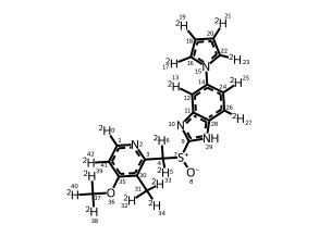 [2H]c1nc(C([2H])([2H])[S+]([O-])c2nc3c([2H])c(-n4c([2H])c([2H])c([2H])c4[2H])c([2H])c([2H])c3[nH]2)c(C([2H])([2H])[2H])c(OC([2H])([2H])[2H])c1[2H]